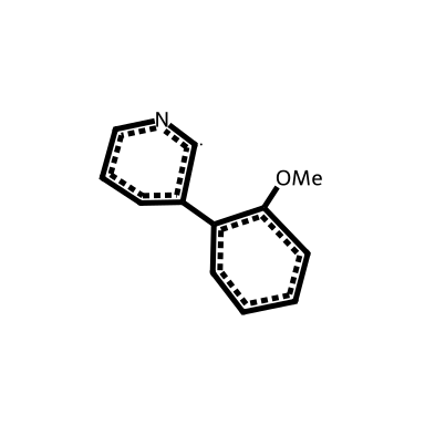 COc1ccccc1-c1[c]nccc1